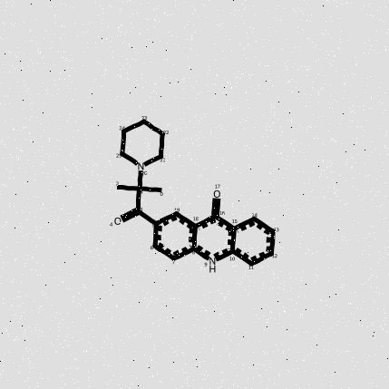 CC(C)(C(=O)c1ccc2[nH]c3ccccc3c(=O)c2c1)N1CCCCC1